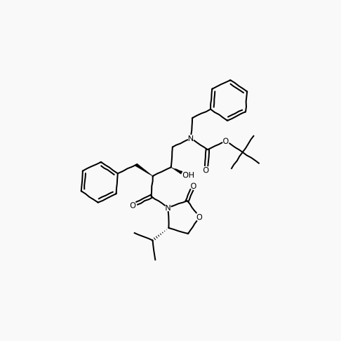 CC(C)[C@H]1COC(=O)N1C(=O)[C@@H](Cc1ccccc1)[C@H](O)CN(Cc1ccccc1)C(=O)OC(C)(C)C